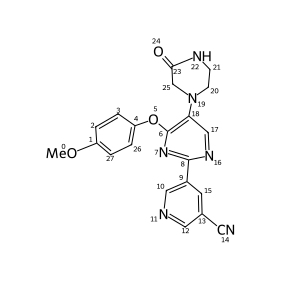 COc1ccc(Oc2nc(-c3cncc(C#N)c3)ncc2N2CCNC(=O)C2)cc1